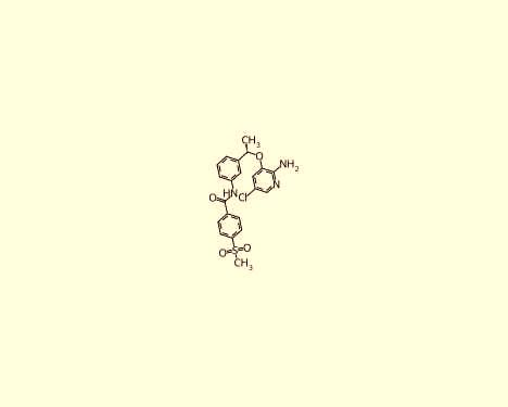 C[C@@H](Oc1cc(Cl)cnc1N)c1cccc(NC(=O)c2ccc(S(C)(=O)=O)cc2)c1